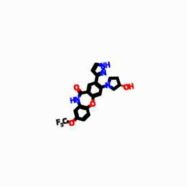 O=C1Nc2cc(OC(F)(F)F)ccc2Oc2cc(N3CC[C@H](O)C3)c(-c3cc[nH]n3)cc21